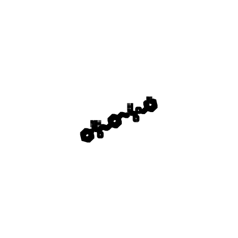 NN(C(=O)C=Cc1ccc(CCNC(=O)OCc2cccnc2)cc1)c1ccccc1